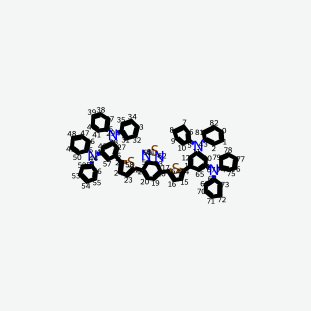 c1ccc(N(c2ccccc2)c2cc(-c3ccc(-c4ccc(-c5ccc(-c6cc(N(c7ccccc7)c7ccccc7)cc(N(c7ccccc7)c7ccccc7)c6)s5)c5nsnc45)s3)cc(N(c3ccccc3)c3ccccc3)c2)cc1